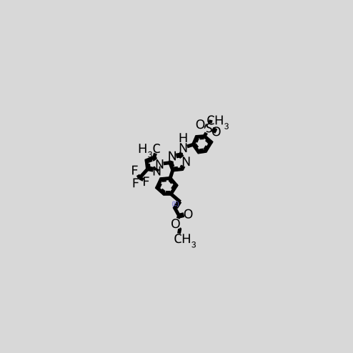 CCOC(=O)/C=C/c1cccc(-c2cnc(Nc3cccc(S(C)(=O)=O)c3)nc2-n2nc(C(F)(F)F)cc2C)c1